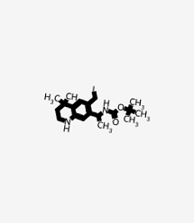 CC(NC(=O)OC(C)(C)C)c1cc2c(cc1CI)C(C)(C)CCN2